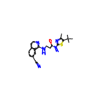 Cc1nc(NC(=O)CCNc2nccc3ccc(C#N)cc23)sc1C(C)(C)C